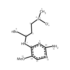 CCCCC(CC[S+](C)[O-])Nc1nc(N)ncc1OC